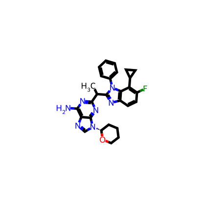 CC(c1nc(N)c2ncn([C@@H]3CCCCO3)c2n1)c1nc2ccc(F)c(C3CC3)c2n1-c1ccccc1